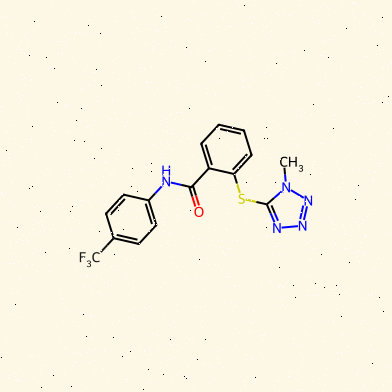 Cn1nnnc1Sc1ccccc1C(=O)Nc1ccc(C(F)(F)F)cc1